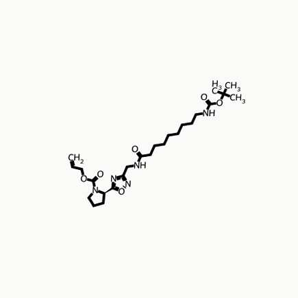 C=CCOC(=O)N1CCC[C@@H]1c1nc(CNC(=O)CCCCCCCCNC(=O)OC(C)(C)C)no1